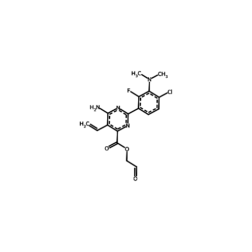 C=Cc1c(N)nc(-c2ccc(Cl)c(N(C)C)c2F)nc1C(=O)OCC=O